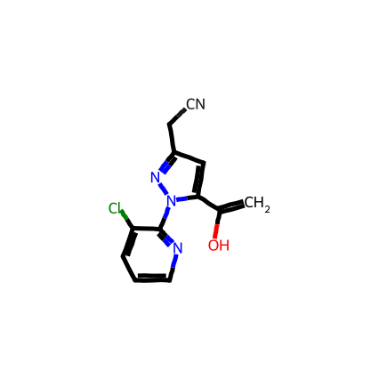 C=C(O)c1cc(CC#N)nn1-c1ncccc1Cl